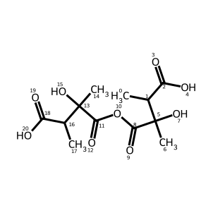 CC(C(=O)O)C(C)(O)C(=O)OC(=O)C(C)(O)C(C)C(=O)O